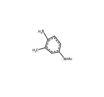 Bc1ccc(NC(C)=O)cc1C